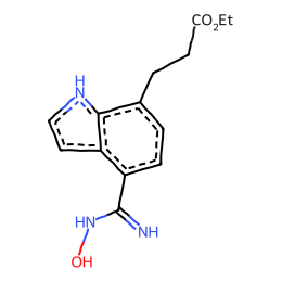 CCOC(=O)CCc1ccc(C(=N)NO)c2cc[nH]c12